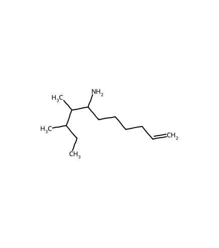 C=CCCCCC(N)C(C)C(C)CC